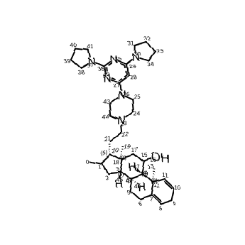 CC1C[C@H]2[C@@H]3CCC4=CCC=C[C@]4(C)[C@H]3C(O)C[C@]2(C)[C@H]1CCN1CCN(c2cc(N3CCCC3)nc(N3CCCC3)n2)CC1